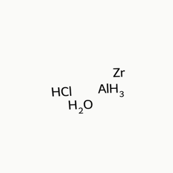 Cl.O.[AlH3].[Zr]